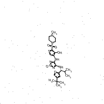 CC(C)[C@@H](Nc1n[s+]([O-])nc1Nc1csc(S(=O)(=O)N2CCN(C)CC2)c1O)c1cc(C(C)(C)C)co1